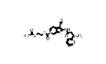 CC(=O)OCCOC(=O)N1CCc2c(sc(NC(=O)C[C@H](C)c3ccccn3)c2C#N)C1